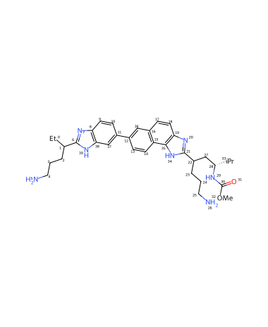 CCC(CCCN)c1nc2ccc(-c3ccc4c(ccc5nc(C(CCCN)C[C@@H](NC(=O)OC)C(C)C)[nH]c54)c3)cc2[nH]1